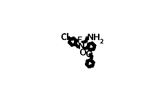 NCCCN(Cc1ccc(Cl)cc1F)C(=O)c1ccccc1OCc1ccccc1